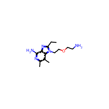 CCc1nc2c(N)nc(C)c(C)c2n1CCOCCN